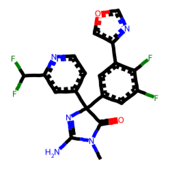 CN1C(=O)C(c2ccnc(C(F)F)c2)(c2cc(F)c(F)c(-c3cocn3)c2)N=C1N